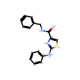 O=C(NCc1cc#ccc1)c1csc(Nc2ccccc2)n1